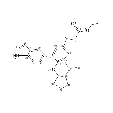 CCOC(=O)CCc1cc(OC)c(OC2CCCC2)c(-c2ccc3[nH]ccc3c2)c1